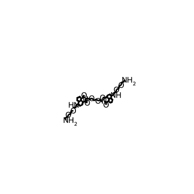 NCCOCCOCCNc1ccc2c3c(cccc13)C(=O)N(CCOCCOCCN1C(=O)c3cccc4c(NCCOCCOCCN)ccc(c34)C1=O)C2=O